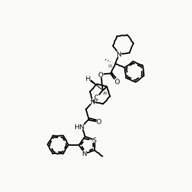 Cc1nc(-c2ccccc2)c(NC(=O)C[N+]23CCC(CC2)[C@@H](OC(=O)[C@](C)(c2ccccc2)N2CCCCC2)C3)s1